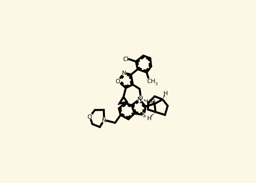 Cc1cccc(Cl)c1-c1noc(C2CC2)c1CO[C@@H]1C[C@H]2CC[C@@H](C1)[C@]2(O)c1nc2ccc(CN3CCOCC3)cc2s1